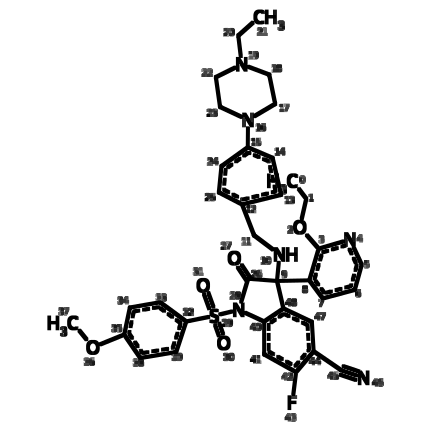 CCOc1ncccc1C1(NCc2ccc(N3CCN(CC)CC3)cc2)C(=O)N(S(=O)(=O)c2ccc(OC)cc2)c2cc(F)c(C#N)cc21